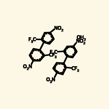 O.O=[N+]([O-])c1ccc(-c2ccc([N+](=O)[O-])cc2C(F)(F)F)c(C(F)(F)F)c1.O=[N+]([O-])c1ccc(-c2ccc([N+](=O)[O-])cc2C(F)(F)F)c(C(F)(F)F)c1